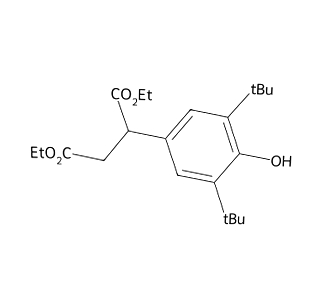 CCOC(=O)CC(C(=O)OCC)c1cc(C(C)(C)C)c(O)c(C(C)(C)C)c1